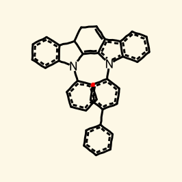 C1=c2c(n(-c3ccc(-c4ccccc4)cc3)c3ccccc23)=C2C(C1)c1ccccc1N2c1ccccc1